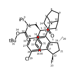 CC(C)N(C[C@@H](C(=O)N1C2CCC1CN(c1ncnc3c1[C@H](C)C[C@H]3F)C2)c1ccc(Cl)cc1)C(=O)OC(C)(C)C